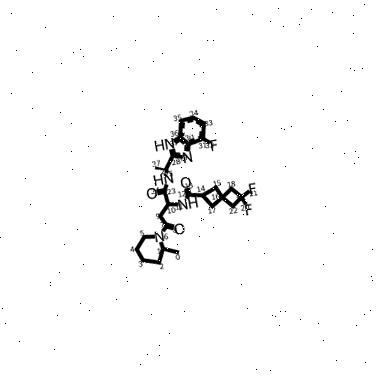 CC1CCCCN1C(=O)CC(NC(=O)C1CC2(C1)CC(F)(F)C2)C(=O)N[C@@H](C)c1nc2c(F)cccc2[nH]1